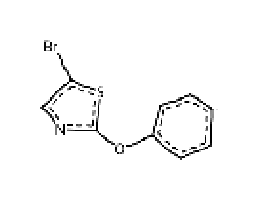 Brc1cnc(Oc2cc[c]cc2)s1